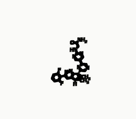 CC1(C)[C@H]2CC[C@]1(c1cncc(-c3cnc(NCC(N)=O)nc3)n1)c1nnc(-c3c(F)cccc3F)cc12